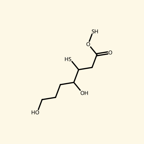 O=C(CC(S)C(O)CCCO)OS